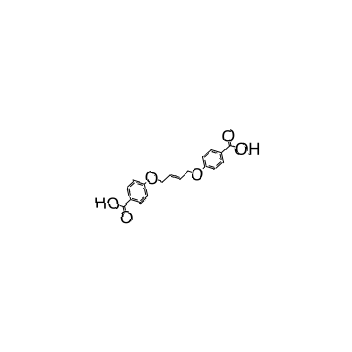 O=C(O)c1ccc(OCC=CCOc2ccc(C(=O)O)cc2)cc1